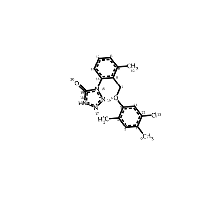 Cc1cc(C)c(OCc2c(C)cccc2-n2nn[nH]c2=O)cc1Cl